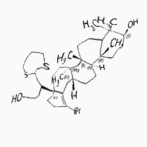 CC(C)C1=C2[C@H]3CC[C@@H]4[C@@]5(C)CC[C@H](O)C(C)(C)C5CC[C@@]4(C)[C@]3(C)CC[C@@]2(C(CO)C2SCCCS2)CC1